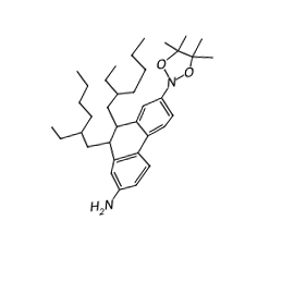 CCCCC(CC)CC1c2cc(N)ccc2-c2ccc(N3OC(C)(C)C(C)(C)O3)cc2C1CC(CC)CCCC